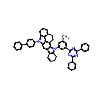 Cc1cc(-c2nc(-c3ccccc3)nc(-c3ccccc3)n2)cc(-n2c3c(c4cc5c6c(c42)CCc2cccc(c26)n5-c2ccc(-c4ccccc4)cc2)C=CCC3)c1